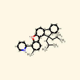 Cc1ccc2c(oc3ccc4c(c32)C(CC(C)C)(CC(C)C)c2ccccc2-4)c1-c1ccccn1